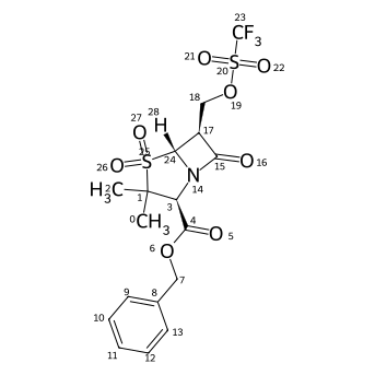 CC1(C)[C@H](C(=O)OCc2ccccc2)N2C(=O)[C@H](COS(=O)(=O)C(F)(F)F)[C@H]2S1(=O)=O